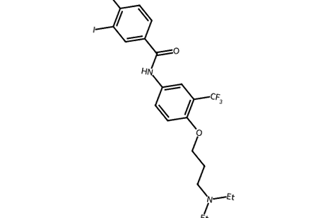 CCN(CC)CCCOc1ccc(NC(=O)c2ccc(C)c(I)c2)cc1C(F)(F)F